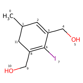 CC1C=C(CO)C(I)=C(CO)C1